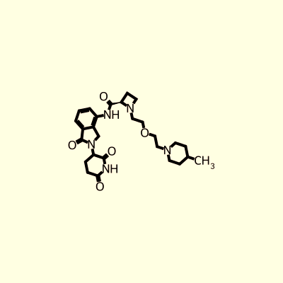 CC1CCN(CCOCCN2CC[C@@H]2C(=O)Nc2cccc3c2CN(C2CCC(=O)NC2=O)C3=O)CC1